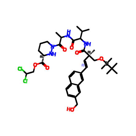 CC(NC(=O)C(NC(=O)[C@](C)(/C=C/c1ccc2ccc(CO)cc2c1)CO[Si](C)(C)C(C)(C)C)C(C)C)C(=O)N1CCC[C@@H](C(=O)OCC(Cl)Cl)N1